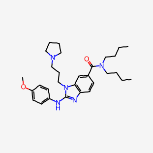 CCCCN(CCCC)C(=O)c1ccc2nc(Nc3ccc(OC)cc3)n(CCCN3CCCC3)c2c1